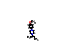 CCC(C)N1CCN(c2ccc(OC)cc2)CC1